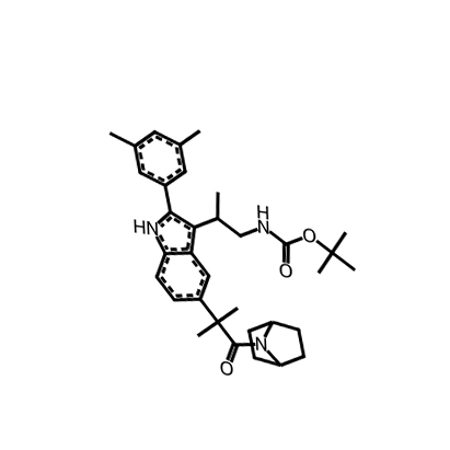 Cc1cc(C)cc(-c2[nH]c3ccc(C(C)(C)C(=O)N4C5CCC4CC5)cc3c2C(C)CNC(=O)OC(C)(C)C)c1